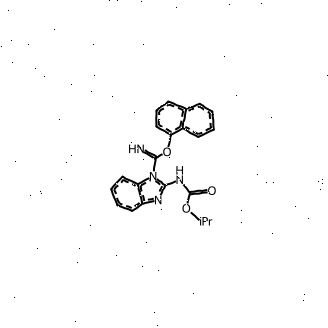 CC(C)OC(=O)Nc1nc2ccccc2n1C(=N)Oc1cccc2ccccc12